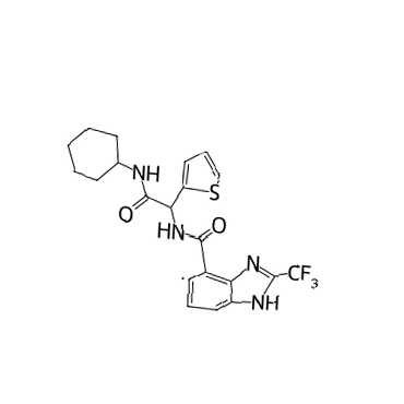 O=C(NC(C(=O)NC1CCCCC1)c1cccs1)c1[c]ccc2[nH]c(C(F)(F)F)nc12